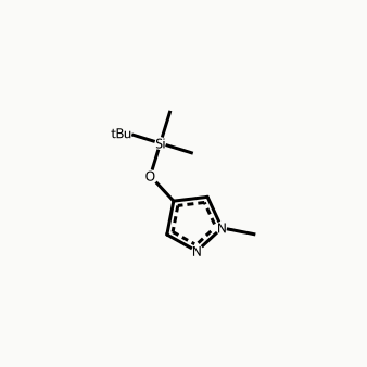 Cn1cc(O[Si](C)(C)C(C)(C)C)cn1